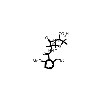 CCOc1cccc(OC)c1C(=O)NC1(C)C(=O)N2[C@@H](C(=O)O)C(C)(C)S[C@@H]21